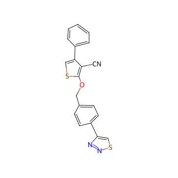 N#Cc1c(-c2ccccc2)csc1OCc1ccc(-c2csnn2)cc1